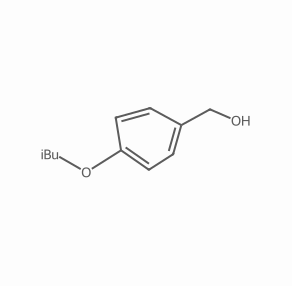 CCC(C)Oc1ccc(CO)cc1